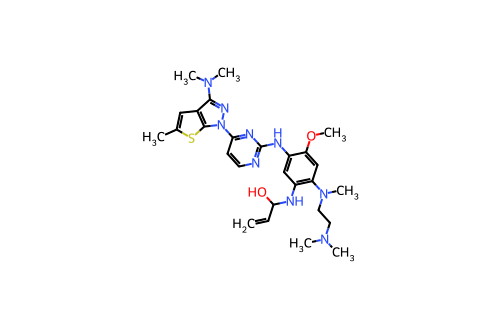 C=CC(O)Nc1cc(Nc2nccc(-n3nc(N(C)C)c4cc(C)sc43)n2)c(OC)cc1N(C)CCN(C)C